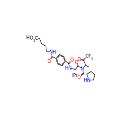 CC(C)[C@H](NC(=O)c1ccc(C(=O)NCCCCC(=O)O)cc1)C(=O)N(C(=O)[C@@H]1CCCN1)C(C)C(=O)C(F)(F)F